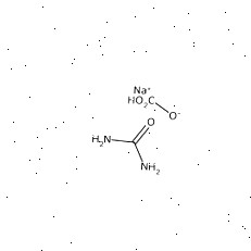 NC(N)=O.O=C([O-])O.[Na+]